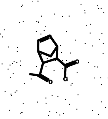 CC(=O)C1C2C=CC(C2)C1C(=O)Cl